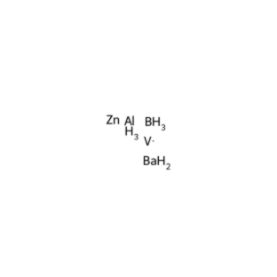 B.[AlH3].[BaH2].[V].[Zn]